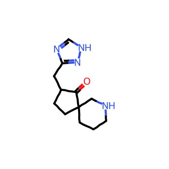 O=C1C(Cc2nc[nH]n2)CCC12CCCNC2